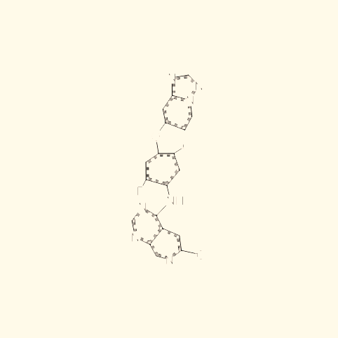 Fc1cc(Oc2ccn3ncnc3c2)c(Cl)cc1Nc1ncnc2cnc(Cl)cc12